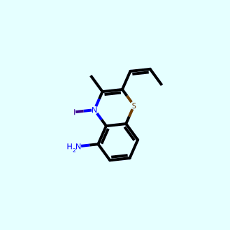 C/C=C\C1=C(C)N(I)c2c(N)cccc2S1